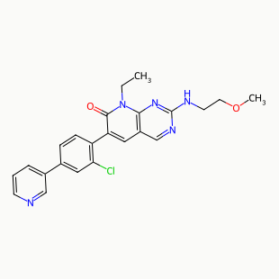 CCn1c(=O)c(-c2ccc(-c3cccnc3)cc2Cl)cc2cnc(NCCOC)nc21